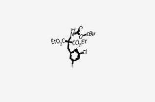 CCOC(=O)C(Cc1cc(Cl)cc(I)c1)(NC(=O)OC(C)(C)C)C(=O)OCC